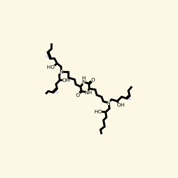 CC/C=C\CC(O)CN(CCCCC1NC(=O)C(CCCCN(CC(O)C/C=C\CC)CC(O)CCCCC)NC1=O)CC(O)C/C=C\CC